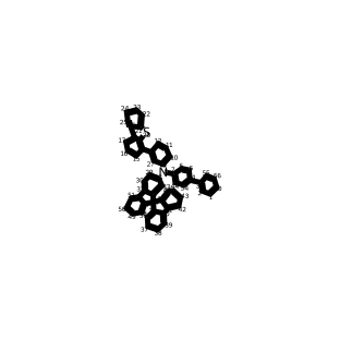 c1ccc(-c2ccc(N(c3cccc(-c4cccc5c4sc4ccccc45)c3)c3ccc4c(c3)C3(c5ccccc5-c5ccccc53)c3ccccc3-4)cc2)cc1